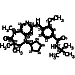 COc1cc(C(=O)NC(C)(C)C)ccc1Nc1ncc2c(n1)N(C1CCCC1)CC(C)(C)C(=O)N2C